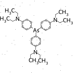 CCN(CC)c1ccc([As](c2ccc(N(CC)CC)cc2)c2ccc(N(CC)CC)cc2)cc1